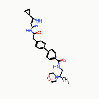 CC(CNC(=O)c1ccc(-c2ccc(CC(=O)Nc3cc(C4CC4)[nH]n3)cc2)cc1)N1CCOCC1